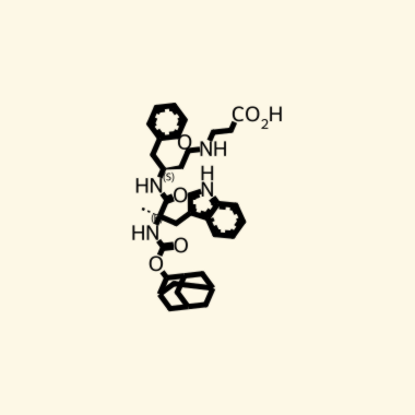 C[C@](Cc1c[nH]c2ccccc12)(NC(=O)OC1C2CC3CC(C2)CC1C3)C(=O)N[C@H](CC(=O)NCCC(=O)O)Cc1ccccc1